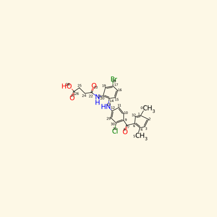 Cc1ccc(C)c(C(=O)c2ccc(Nc3ccc(Br)cc3NC(=O)CCC(=O)O)cc2Cl)c1